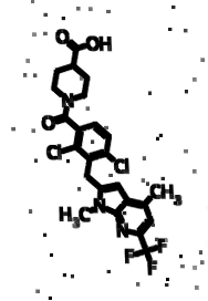 Cc1cc(C(F)(F)F)nc2c1cc(Cc1c(Cl)ccc(C(=O)N3CCC(C(=O)O)CC3)c1Cl)n2C